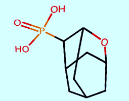 O=P(O)(O)C1C2CC3CC(C2)OC1C3